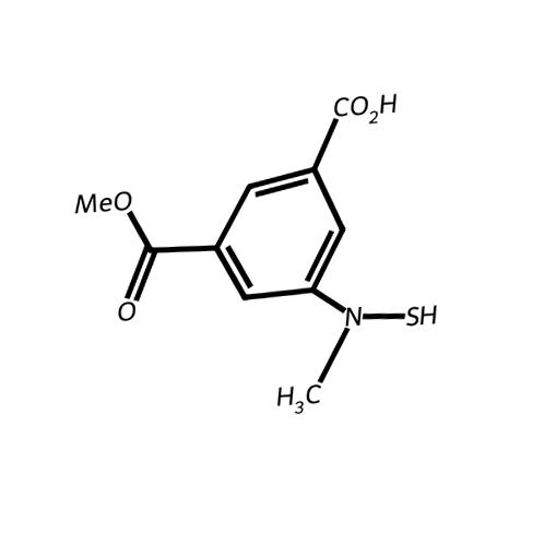 COC(=O)c1cc(C(=O)O)cc(N(C)S)c1